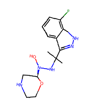 CC(C)(NN(O)[C@@H]1CNCCO1)c1n[nH]c2c(F)cccc12